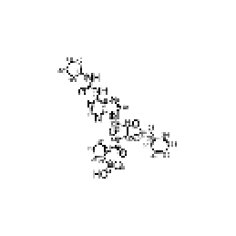 O=C(Nc1ncnc2c1ncn2C1OC(C(=O)N2CCCC2C(=O)O)C2OC(Cc3ccccc3)OC21)NC1CCCC1